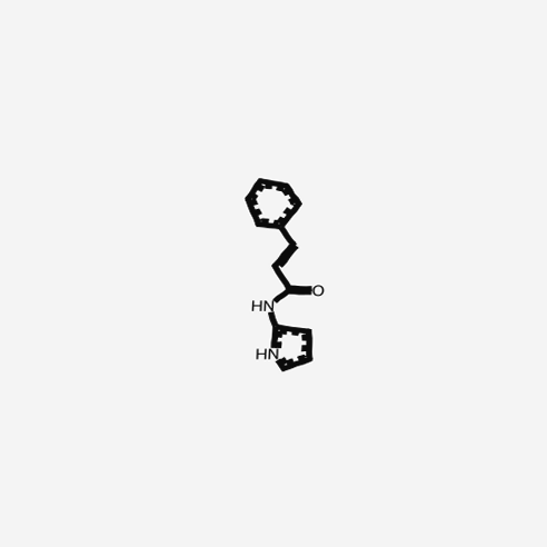 O=C(C=Cc1ccccc1)Nc1ccc[nH]1